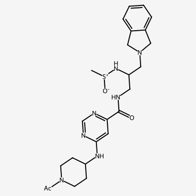 CC(=O)N1CCC(Nc2cc(C(=O)NCC(CN3Cc4ccccc4C3)N[S+](C)[O-])ncn2)CC1